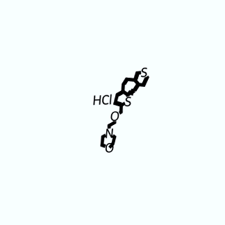 C1=CC2=C3C=CSC=C3C=CC3=CC=C(COCCN4CCOCC4)SC32C1.Cl